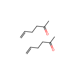 C=CCCC(C)=O.C=CCCC(C)=O